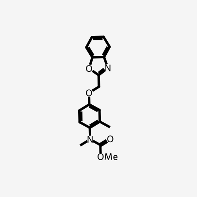 COC(=O)N(C)c1ccc(OCc2nc3ccccc3o2)cc1C